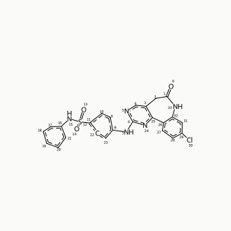 O=C1Cc2cnc(Nc3ccc(S(=O)(=O)Nc4ccccc4)cc3)nc2-c2ccc(Cl)cc2N1